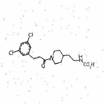 O=C(O)NCCC1CCN(C(=O)/C=C/c2cc(Cl)cc(Cl)c2)CC1